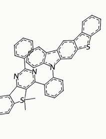 C[Si]1(C)c2ccccc2-c2nc(-c3ccccc3)nc(-c3ccccc3-n3c4ccccc4c4cc5c(cc43)sc3ccccc35)c21